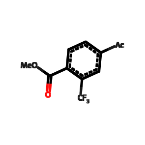 COC(=O)c1ccc(C(C)=O)cc1C(F)(F)F